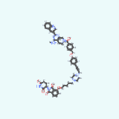 CNc1nc(-c2cnc3ccccc3c2)nc2c1CCN(C(=O)c1ccc(COc3ccc(C#CCN4CCN(CCCCCOc5cccc6c5C(=O)N(C5CCC(=O)NC5=O)C6=O)CC4)cc3)cc1)C2